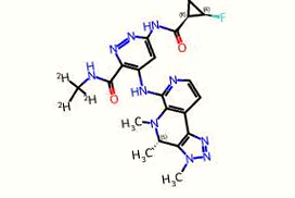 [2H]C([2H])([2H])NC(=O)c1nnc(NC(=O)[C@H]2C[C@H]2F)cc1Nc1nccc2c1N(C)[C@@H](C)c1c-2nnn1C